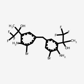 CC(O)(c1cc(Cc2cc(Br)c(N)c(C(C)(O)C(F)(F)F)c2)cc(Br)c1N)C(F)(F)F